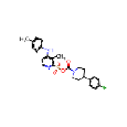 Cc1ccc(Nc2ccnc(S(=O)(=O)OC(=O)N3CCC(c4ccc(F)cc4)CC3)c2C)cc1